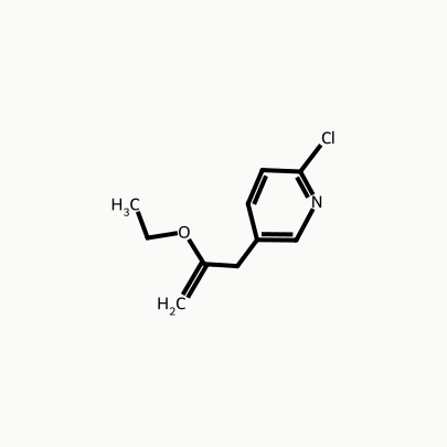 C=C(Cc1ccc(Cl)nc1)OCC